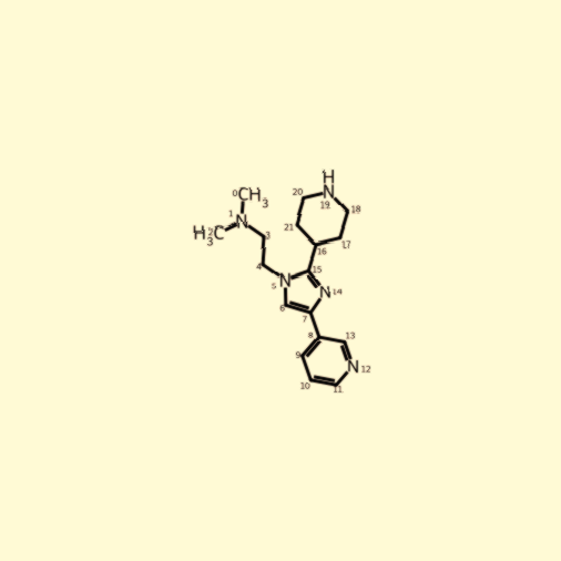 CN(C)CCn1cc(-c2cccnc2)nc1C1CCNCC1